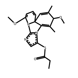 CCC(=O)Sc1cnc2n1C1=C(C)C(OC)C(C)=CC13C=CC=C(OC)N23